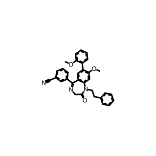 COc1ccccc1-c1cc2c(cc1OC)N(CCc1ccccc1)C(=O)CN=C2c1cccc(C#N)c1